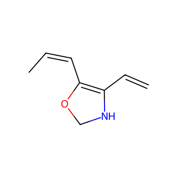 C=CC1=C(/C=C\C)OCN1